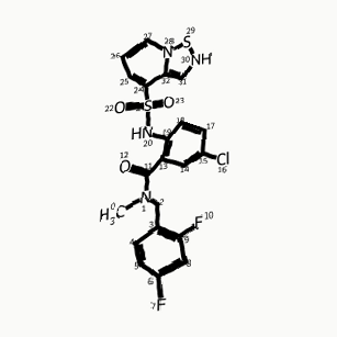 CN(Cc1ccc(F)cc1F)C(=O)c1cc(Cl)ccc1NS(=O)(=O)C1=CC=CN2SNC=C12